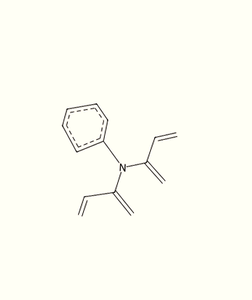 C=CC(=C)N(C(=C)C=C)c1ccccc1